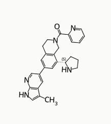 Cc1c[nH]c2ncc(-c3cc4c(c([C@@H]5CCCN5)c3)CN(C(=O)c3ccccn3)CC4)cc12